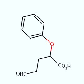 O=CCCC(Oc1ccccc1)C(=O)O